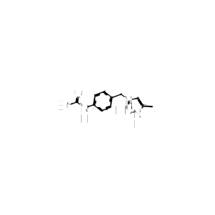 CCC(=O)Nc1ccc(CN2C=C(C)NN2)cc1